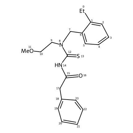 CCc1ccccc1CN(CCOC)C(=S)NC(=O)Cc1ccccc1